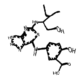 CC(C)C(CO)Nc1nc(Nc2ccc(O)c(C(=O)O)c2)c2nn[nH]c2n1